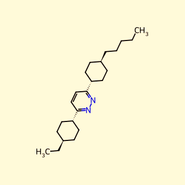 CCCCC[C@H]1CC[C@H](c2ccc([C@H]3CC[C@H](CC)CC3)nn2)CC1